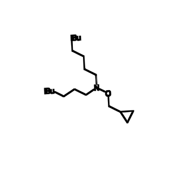 CCC(C)CCCCN(CCCC(C)CC)OCC1CC1